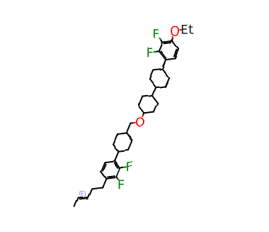 C/C=C/CCc1ccc(C2CCC(COC3CCC(C4CCC(c5ccc(OCC)c(F)c5F)CC4)CC3)CC2)c(F)c1F